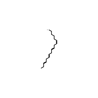 [CH2]CCCC/C=C\CC=CCC=CCC=CCC